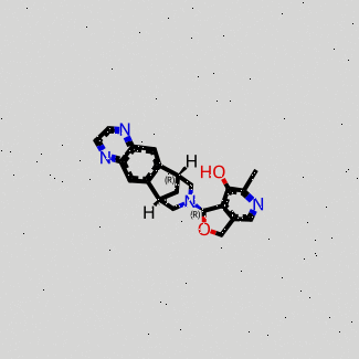 Cc1ncc2c(c1O)[C@H](N1C[C@H]3C[C@@H](C1)c1cc4nccnc4cc13)OC2